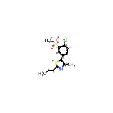 [CH2]CCc1nc(C)c(-c2ccc(Cl)c(S(C)(=O)=O)c2)s1